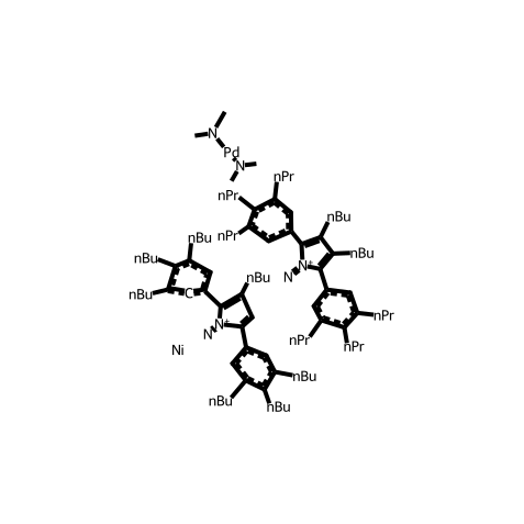 CCCCC1=C(c2cc(CCC)c(CCC)c(CCC)c2)[N+](=[N-])C(c2cc(CCC)c(CCC)c(CCC)c2)=C1CCCC.CCCCC1=C(c2cc(CCCC)c(CCCC)c(CCCC)c2)[N+](=[N-])C(c2cc(CCCC)c(CCCC)c(CCCC)c2)=C1.C[N](C)[Pd][N](C)C.[Ni]